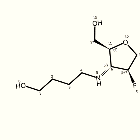 OCCCCN[C@H]1[C@H](F)[CH]O[C@@H]1CO